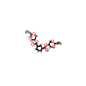 CC(C)C1OCC(OC(=O)c2cccc(C(=O)OC3COC(C(C)C)OC3)c2)CO1